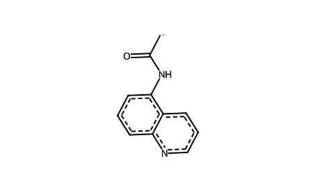 [CH2]C(=O)Nc1cccc2ncccc12